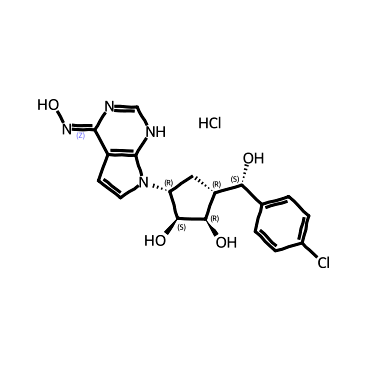 Cl.O/N=c1\nc[nH]c2c1ccn2[C@@H]1C[C@H]([C@H](O)c2ccc(Cl)cc2)[C@@H](O)[C@H]1O